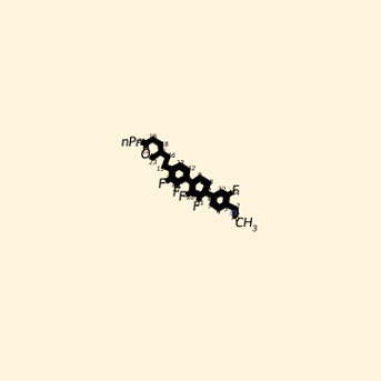 C/C=C/c1ccc(-c2ccc(-c3ccc(CCC4CCC(CCC)OC4)c(F)c3F)c(F)c2F)cc1F